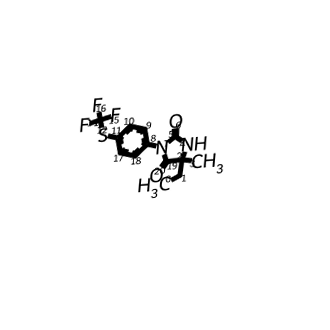 CCC1(C)NC(=O)N(c2ccc(SC(F)(F)F)cc2)C1=O